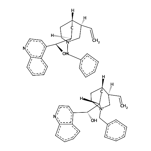 C=C[C@H]1C[N+]2(Cc3ccccc3)CC[C@H]1C[C@@H]2[C@@H](O)c1ccnc2ccccc12.C=C[C@H]1C[N+]2(Cc3ccccc3)CC[C@H]1C[C@H]2[C@H](O)c1ccnc2ccccc12